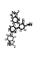 Cn1ncc2cc(-c3cnc(N4CCC(N)CC4)nc3-c3ccc(C#N)c(F)c3)cnc21